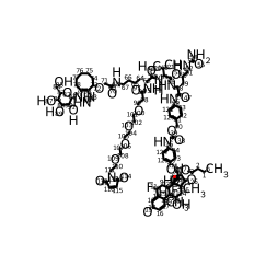 CCCC1O[C@@H]2C[C@H]3[C@@H]4C[C@H](F)C5=CC(=O)C=C[C@]5(C)[C@@]4(F)[C@@H](O)C[C@]3(C)[C@]2(C(=O)COc2ccc(NC(=O)OCc3ccc(NC(=O)[C@H](CCCNC(N)=O)NC(=O)[C@@H](NC(=O)[C@@H](CCCCNC(=O)COC4CCCCC/C(N[C@@H]5O[C@H](CO)[C@H](O)[C@H](O)[C@H]5O)=C\4N=N)NC(=O)CCOCCOCCOCCOCCN4C(=O)C=CC4=O)C(C)C)cc3)cc2)O1